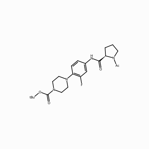 CC(=O)N1CCC[C@@H]1C(=O)Nc1ccc(N2CCN(C(=O)OC(C)(C)C)CC2)c(F)c1